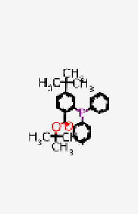 CC(C)(C)OC(=O)c1ccc(C(C)(C)C)cc1P(c1ccccc1)c1ccccc1